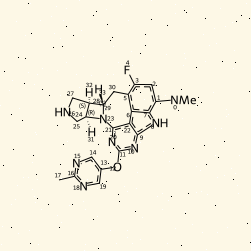 CNc1cc(F)c2c3c1[nH]c1nc(Oc4cnc(C)nc4)nc(c13)N1[C@H]3CNC[C@H]3[C@@H]1C2